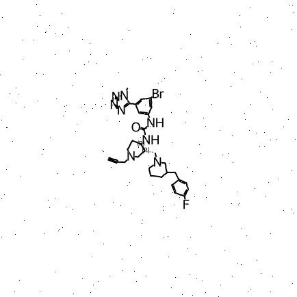 C#CCN1CC[C@@H](NC(=O)Nc2cc(Br)cc(-c3nnnn3C)c2)[C@H](CN2CCCC(Cc3ccc(F)cc3)C2)C1